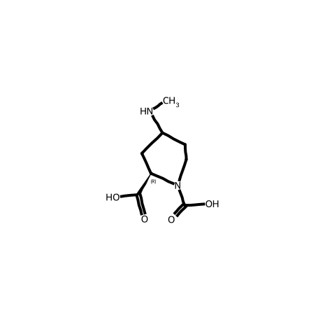 CNC1CCN(C(=O)O)[C@@H](C(=O)O)C1